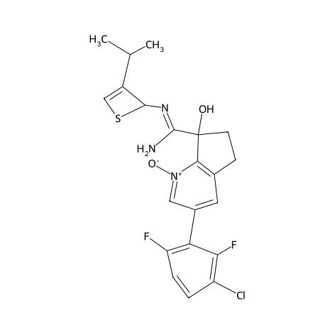 CC(C)C1=CSC1N=C(N)C1(O)CCc2cc(-c3c(F)ccc(Cl)c3F)c[n+]([O-])c21